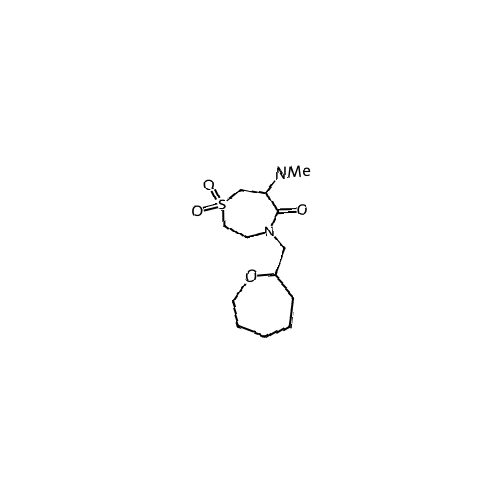 CNC1CS(=O)(=O)CCN(CC2CCCCCO2)C1=O